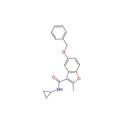 Cc1oc2ccc(OCc3ccccc3)cc2c1C(=O)NC1CC1